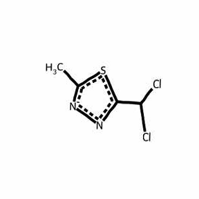 Cc1nnc(C(Cl)Cl)s1